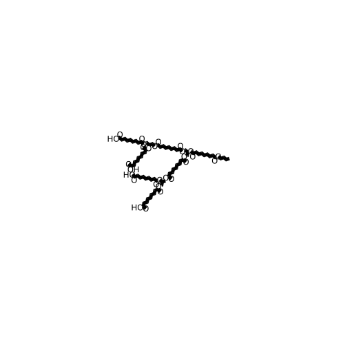 CCCCOC(=O)CCCCCCCC(=O)OC(COC(=O)CCCCCCCC(=O)OCC(COC(=O)CCCCCCCC(=O)O)OC(=O)CCCCCCCC(=O)O)COC(=O)CCCCCCCC(=O)OCC(COC(=O)CCCCCCCC(=O)O)OC(=O)CCCCCCCC(=O)O